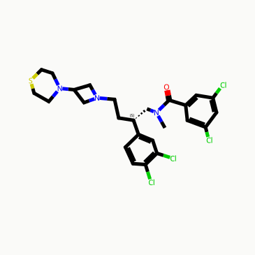 CN(C[C@@H](CCN1CC(N2CCSCC2)C1)c1ccc(Cl)c(Cl)c1)C(=O)c1cc(Cl)cc(Cl)c1